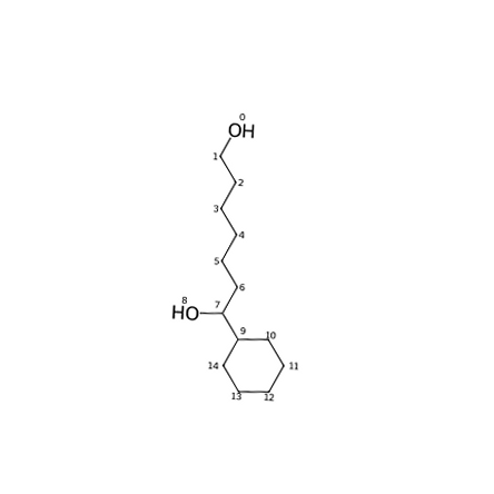 OCCCCCCC(O)C1CCCCC1